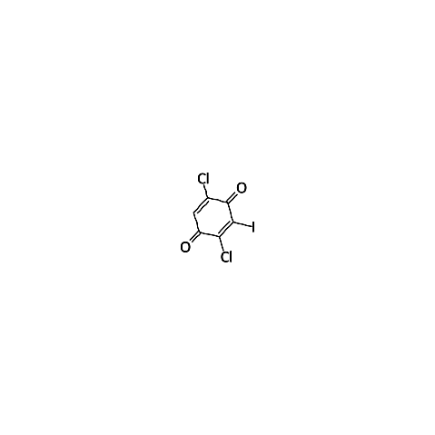 O=C1C=C(Cl)C(=O)C(I)=C1Cl